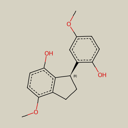 COc1ccc(O)c([C@H]2CCc3c(OC)ccc(O)c32)c1